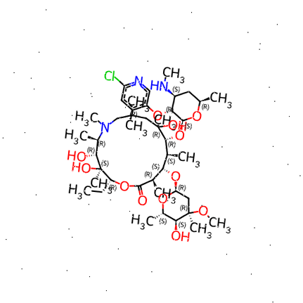 CC[C@H]1OC(=O)[C@H](C)[C@@H](O[C@H]2C[C@@](C)(OC)[C@@H](O)[C@H](C)O2)[C@H](C)[C@@H](O[C@@H]2O[C@H](C)C[C@H](NC)[C@H]2Oc2cnc(Cl)cc2C)[C@](C)(O)C[C@@H](C)CN(C)[C@H](C)[C@@H](O)[C@]1(C)O